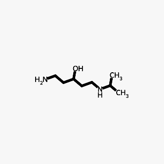 CC(C)NCCC(O)CCN